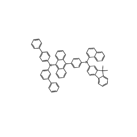 CC1(C)c2ccccc2-c2ccc(N(c3ccc(-c4c5ccccc5c(N(c5ccc(-c6ccccc6)cc5)c5cccc(-c6ccccc6)c5)c5ccccc45)cc3)c3cccc4ccccc34)cc21